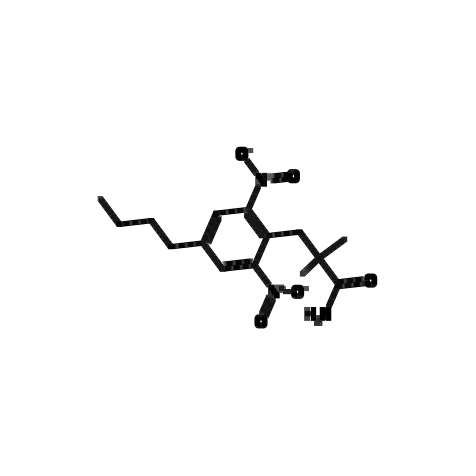 CCCCc1cc([N+](=O)[O-])c(CC(C)(C)C(N)=O)c([N+](=O)[O-])c1